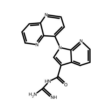 N=C(N)NC(=O)c1cn(-c2ccnc3cccnc23)c2ncccc12